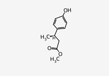 COC(=O)C[C@@H](C)c1ccc(O)cc1